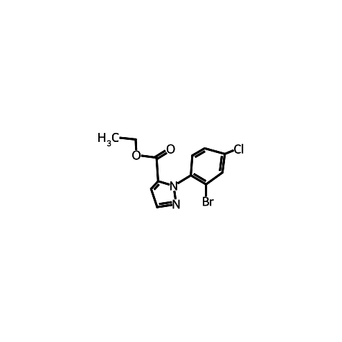 CCOC(=O)c1ccnn1-c1ccc(Cl)cc1Br